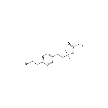 CC(C)(CCc1ccc(CCBr)cc1)OC(N)=O